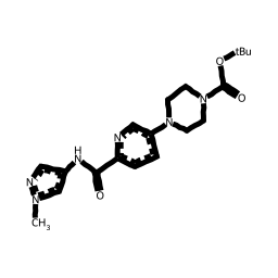 Cn1cc(NC(=O)c2ccc(N3CCN(C(=O)OC(C)(C)C)CC3)cn2)cn1